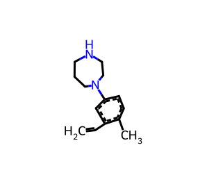 C=Cc1cc(N2CCCNCC2)ccc1C